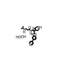 CC(C)NCCC(=O)Nc1sc2c(c1-c1nc3cc(-c4ccncc4)ccc3s1)CCNC2.Cl.Cl